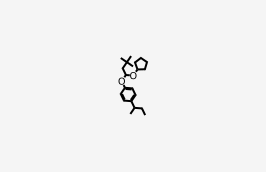 CCC(C)c1ccc(OC(CC(C)(C)C)OC2CCCC2)cc1